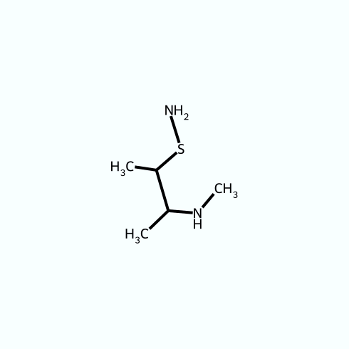 CNC(C)C(C)SN